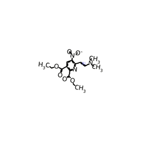 CCOC(=O)c1cc([N+](=O)[O-])c(/C=C/N(C)C)nc1C(=O)OCC